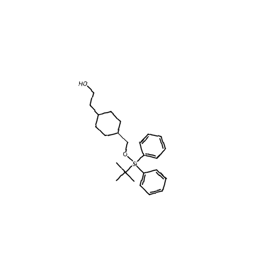 CC(C)(C)[Si](OCC1CCC(CCO)CC1)(c1ccccc1)c1ccccc1